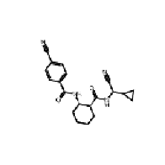 N#Cc1ccc(C(=O)N[C@@H]2CCCC[C@@H]2C(=O)NC(C#N)C2CC2)cc1